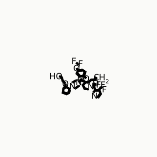 C=CCC1N(C(=O)c2cnccc2C(F)(F)F)CCCC1(Oc1ccc(OC(F)F)cc1)C(=O)N1CCN(c2ccccc2OCCO)CC1